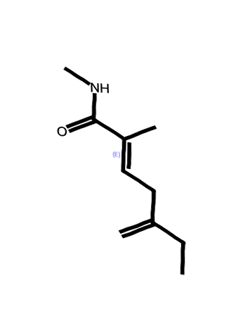 C=C(CC)C/C=C(\C)C(=O)NC